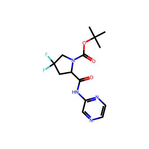 CC(C)(C)OC(=O)N1CC(F)(F)CC1C(=O)Nc1cnccn1